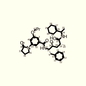 CC(C)Oc1cc(C(=O)N[C@@H](Cc2ccccc2)[C@@H](O)C[C@@H](C)C(=O)NC(C)C2=CCCCC2)cc(N2CCCC2=O)c1